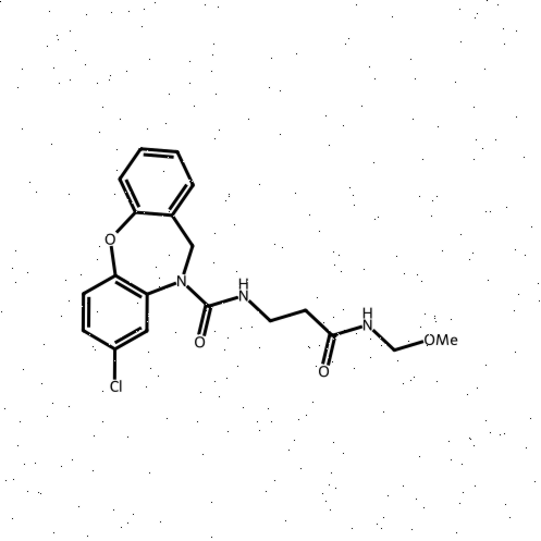 COCNC(=O)CCNC(=O)N1Cc2ccccc2Oc2ccc(Cl)cc21